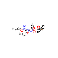 C=CC(=O)NCCN(CCN(CC(=O)Oc1ccc2sc3ccccc3c(=O)c2c1)C(=O)C=C)C(=O)C=C